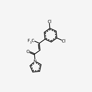 O=C(C=C(c1cc(Cl)cc(Cl)c1)C(F)(F)F)n1cccc1